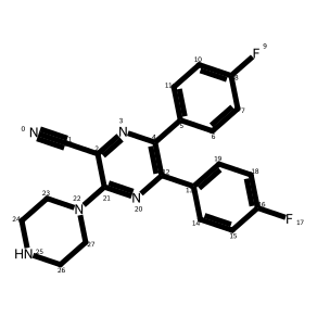 N#Cc1nc(-c2ccc(F)cc2)c(-c2ccc(F)cc2)nc1N1CCNCC1